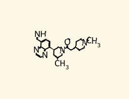 C[C@H]1C[C@@H](c2ccc(C=N)c3nccnc23)CN(C(=O)CC2CCN(C)CC2)C1